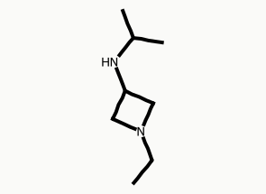 CCN1CC(NC(C)C)C1